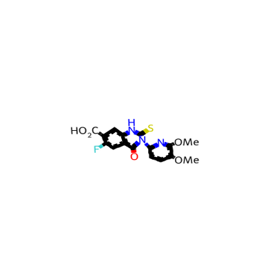 COc1ccc(-n2c(=S)[nH]c3cc(C(=O)O)c(F)cc3c2=O)nc1OC